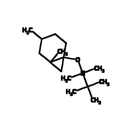 CC1CCC2(O[Si](C)(C)C(C)(C)C)CC2(C)C1